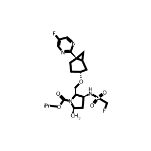 CC(C)OC(=O)N1[C@H](C)C[C@H](NS(=O)(=O)CF)[C@@H]1CO[C@@H]1CC[C@]2(c3ncc(F)cn3)CC2C1